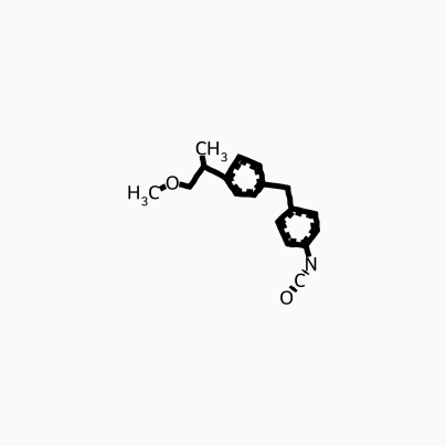 COCC(C)c1ccc(Cc2ccc(N=C=O)cc2)cc1